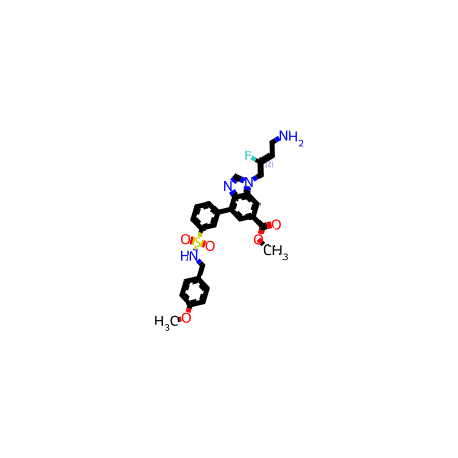 COC(=O)c1cc(-c2cccc(S(=O)(=O)NCc3ccc(OC)cc3)c2)c2ncn(C/C(F)=C/CN)c2c1